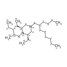 CCCCCCC(CCCC)CN1C[C@@H](CC)N(CC(C)CCC)[C@@H](CC)C1